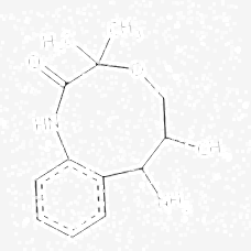 CC1COC(C)(C)C(=O)Nc2ccccc2C1N